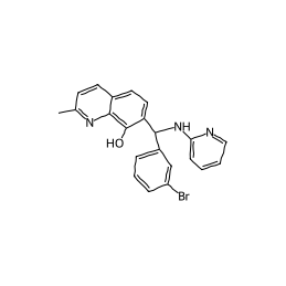 Cc1ccc2ccc(C(Nc3ccccn3)c3cccc(Br)c3)c(O)c2n1